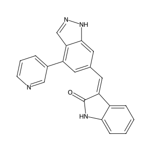 O=C1Nc2ccccc2C1=Cc1cc(-c2cccnc2)c2cn[nH]c2c1